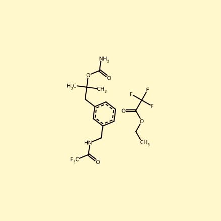 CC(C)(Cc1cccc(CNC(=O)C(F)(F)F)c1)OC(N)=O.CCOC(=O)C(F)(F)F